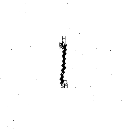 O=C(CS)CCCCCCCCCCCCCCc1c[nH]nn1